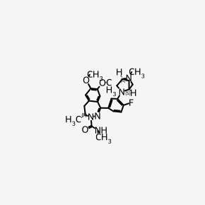 CNC(=O)N1N=C(c2ccc(F)c(N3C[C@@H]4C[C@H]3CN4C)c2)c2cc(OC)c(OC)cc2C[C@H]1C